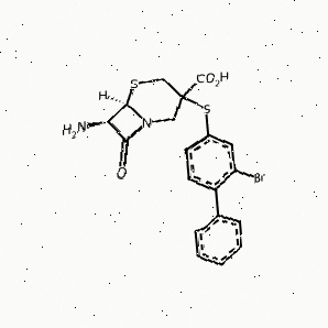 N[C@@H]1C(=O)N2CC(Sc3ccc(-c4ccccc4)c(Br)c3)(C(=O)O)CS[C@H]12